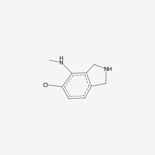 CNc1c(Cl)ccc2c1CNC2